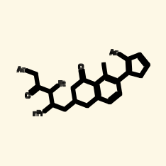 CCCC(CC1CC(=O)c2c(ccc(C3=C(C(C)=O)C=CC3)c2C)C1)C(CC)C(=O)CC(C)=O